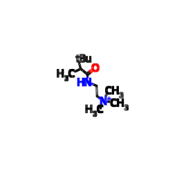 CC(C(=O)NCC[N+](C)(C)C)C(C)(C)C